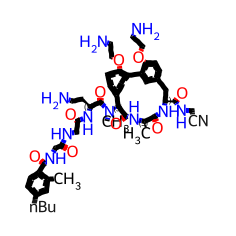 CCCCc1ccc(C(=O)NCC(=O)NCC(=O)N[C@@H](CCN)C(=O)N(C)[C@@H]2C(=O)N[C@@H](C)C(=O)N[C@H](C(=O)NCC#N)Cc3ccc(OCCN)c(c3)-c3cc2ccc3OCCN)c(C)c1